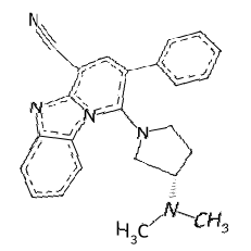 CN(C)[C@H]1CCN(c2c(-c3ccccc3)cc(C#N)c3nc4ccccc4n23)C1